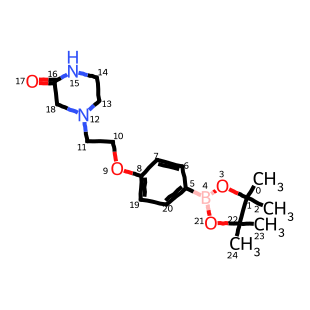 CC1(C)OB(c2ccc(OCCN3CCNC(=O)C3)cc2)OC1(C)C